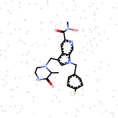 CC1C(=O)NCCN1Cc1cn(Cc2ccc(F)cc2)c2cnc(C(=O)N(C)O)cc12